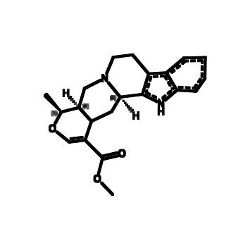 COC(=O)C1=CO[C@@H](C)[C@H]2CN3CCc4c([nH]c5ccccc45)[C@H]3CC12